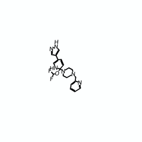 FC(F)OC1(N2CCN(Cc3ccccn3)CC2)C=CC(c2cn[nH]c2)=CN1